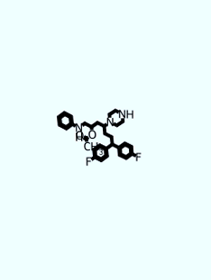 CC(=O)OC(CNc1ccccc1)CC(CCC(c1ccc(F)cc1)c1ccc(F)cc1)N1CCNCC1